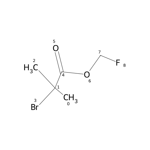 CC(C)(Br)C(=O)OCF